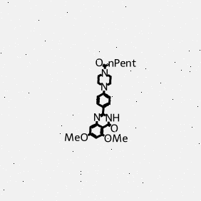 CCCCCC(=O)N1CCN(c2ccc(-c3nc4cc(OC)cc(OC)c4c(=O)[nH]3)cc2)CC1